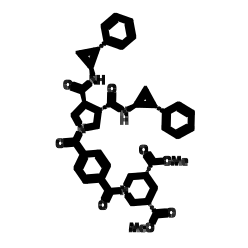 COC(=O)[C@@H]1C[C@H](C(=O)OC)CN(C(=O)c2ccc(C(=O)N3C[C@@H](C(=O)N[C@H]4C[C@@H]4c4ccccc4)[C@H](C(=O)N[C@H]4C[C@@H]4c4ccccc4)C3)cc2)C1